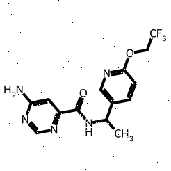 CC(NC(=O)c1cc(N)ncn1)c1ccc(OCC(F)(F)F)nc1